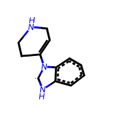 [CH]1Nc2ccccc2N1C1=CCNCC1